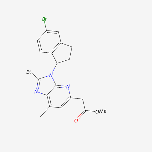 CCc1nc2c(C)cc(CC(=O)OC)nc2n1C1CCc2cc(Br)ccc21